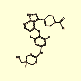 CCC(=O)N1CC=C(c2c[nH]c3nccc(Oc4c(F)cc(NC5=NC[C@](C)(CO)CO5)cc4F)c23)CC1